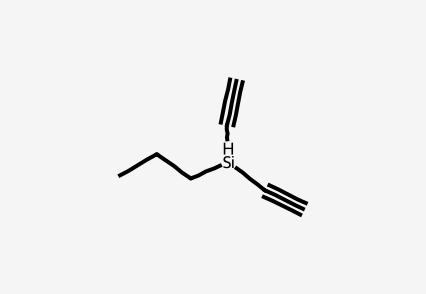 C#C[SiH](C#C)CCC